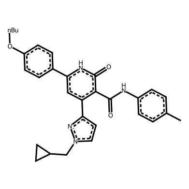 CCCCOc1ccc(-c2cc(-c3ccn(CC4CC4)n3)c(C(=O)Nc3ccc(C)cc3)c(=O)[nH]2)cc1